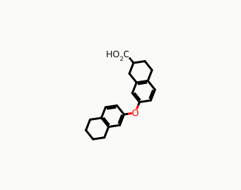 O=C(O)C1CCc2ccc(Oc3ccc4c(c3)CCCC4)cc2C1